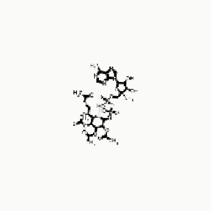 CC(=O)OC[C@H](F)C1OC(OP(=O)(O)OP(O)(=S)OC[C@@]2(C)OC(n3cnc4c(N)ncnc43)C(O)[C@H]2O)C(OC(C)=O)C(OC(C)=O)C1OC(C)=O